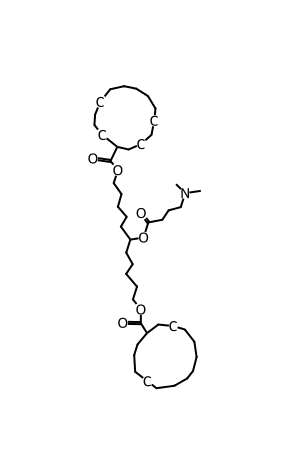 CN(C)CCCC(=O)OC(CCCCCOC(=O)C1CCCCCCCCCCCCC1)CCCCCOC(=O)C1CCCCCCCCCCCCC1